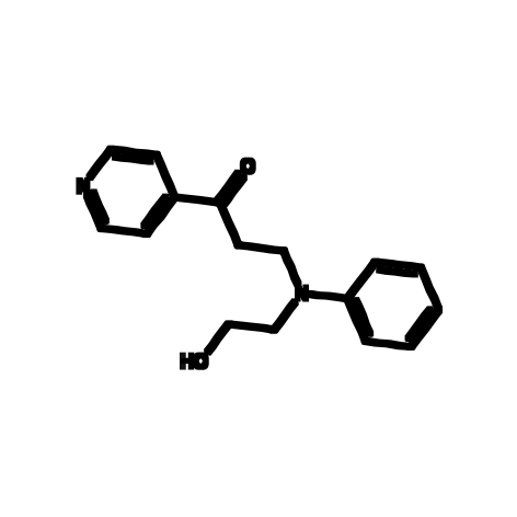 O=C(CCN(CCO)c1ccccc1)c1ccncc1